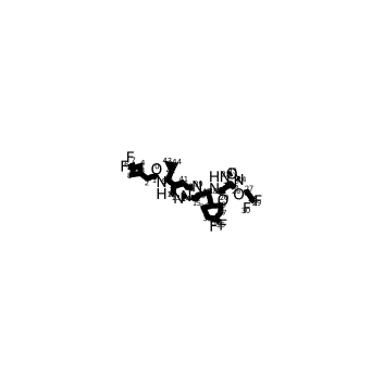 O=C(CC1CC(F)(F)C1)N[C@@H](c1cnn2cc([C@@H](NC(=O)c3nonc3OCC(F)F)C3CCC(F)(F)CC3)nc2c1)C1CC1